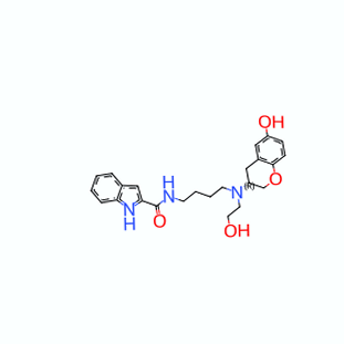 O=C(NCCCCN(CCO)[C@H]1COc2ccc(O)cc2C1)c1cc2ccccc2[nH]1